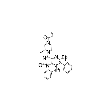 C=CC(=O)N1CCN(c2nc(=O)n(-c3ccccc3C(C)C)c3nc(-c4ccccc4F)c(CC)nc23)[C@@H](C)C1